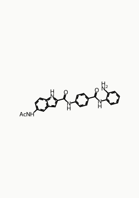 CC(=O)Nc1ccc2[nH]c(C(=O)Nc3ccc(C(=O)Nc4ccccc4N)cc3)cc2c1